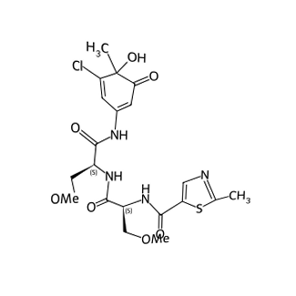 COC[C@H](NC(=O)c1cnc(C)s1)C(=O)N[C@@H](COC)C(=O)NC1=CC(=O)C(C)(O)C(Cl)=C1